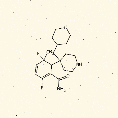 CC1(F)C=CC(F)=C(C(N)=O)C1C1(CC2CCOCC2)CCNCC1